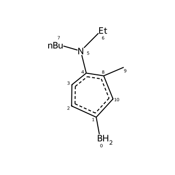 Bc1ccc(N(CC)CCCC)c(C)c1